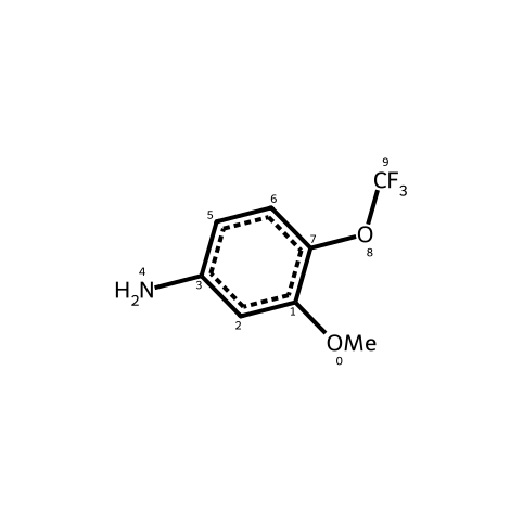 COc1cc(N)ccc1OC(F)(F)F